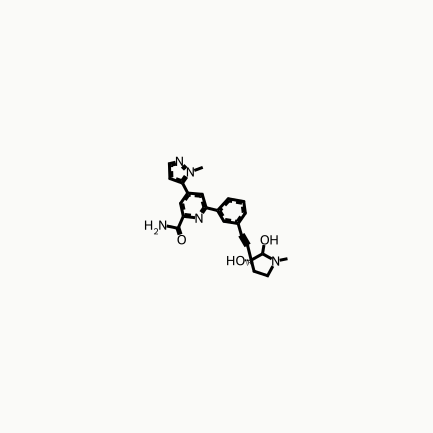 CN1CC[C@@](O)(C#Cc2cccc(-c3cc(-c4ccnn4C)cc(C(N)=O)n3)c2)C1O